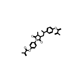 C=C(C)C(=C)Oc1ccc(C(C)CC2C(=O)N(c3ccc(OC(=O)C(=C)C)cc3)C(=O)C2C)cc1